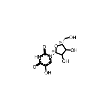 O=c1[nH]c(=O)n([C@@H]2O[C@H](CO)C(O)C2O)cc1O